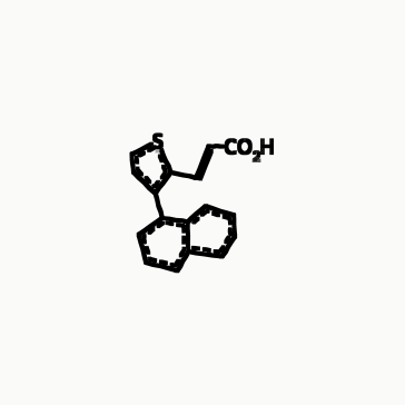 O=C(O)C=Cc1sccc1-c1cccc2ccccc12